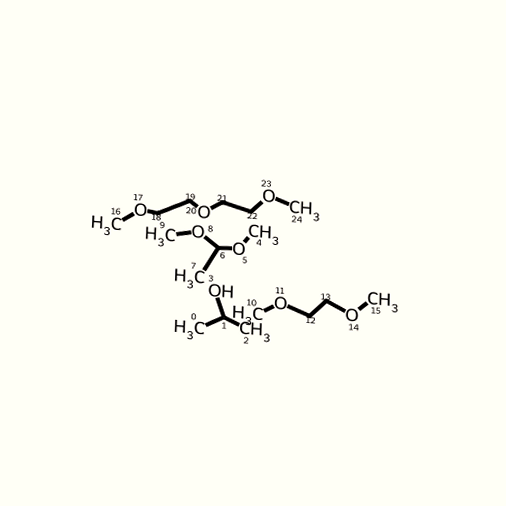 CC(C)O.COC(C)OC.COCCOC.COCCOCCOC